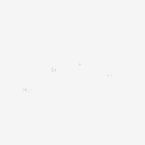 C/C=C(\C)OC(C)/C(F)=C/C(Br)=C(\C)O